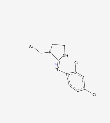 CC(=O)CN1CCN/C1=N\c1ccc(Cl)cc1Cl